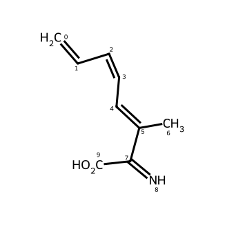 C=C/C=C\C=C(/C)C(=N)C(=O)O